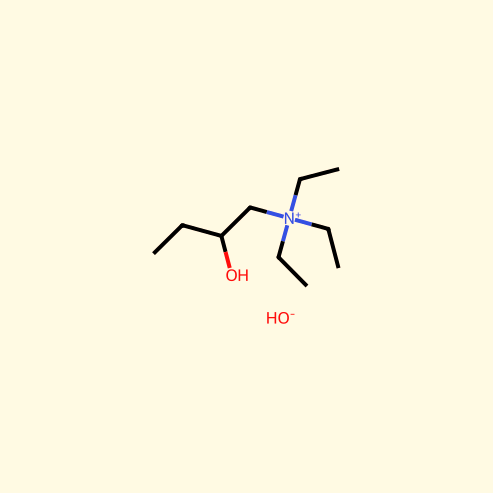 CCC(O)C[N+](CC)(CC)CC.[OH-]